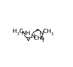 CNCC1CC1N(C)CC1CC1N(C)C1CC1